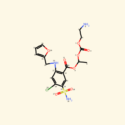 CC(OC(=O)OCCN)OC(=O)c1cc(S(N)(=O)=O)c(Cl)cc1NCc1ccco1